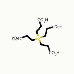 CCCCCCCCCCCCS(CCCCCCCCCCCC)(CCC(=O)O)CCC(=O)O